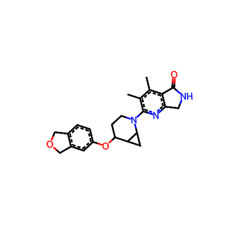 Cc1c(N2CCC(Oc3ccc4c(c3)COC4)C3CC32)nc2c(c1C)C(=O)NC2